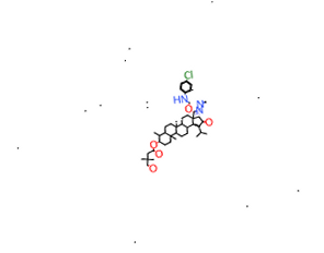 C=N/N=C(\OCNc1ccc(Cl)cc1)C12CCC3C(CCC4C3(C)CCC3C(C)C(OC(=O)CC(C)(C)C=O)CCC34C)C1=C(C(C)C)C(=O)C2